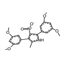 COc1cc(OC)cc(-c2[nH]c(C)c(-c3cc(OC)cc(OC)c3)c2[N+](=O)[O-])c1